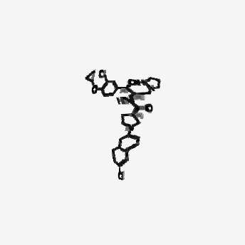 O=C(N[C@H](CN1CCCC1)[C@H](O)c1ccc(OC2CC2)c(Cl)c1)[C@@H]1CCN(c2ccc3cc(Cl)ccc3c2)C1